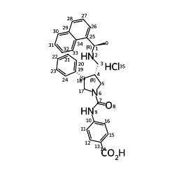 C[C@@H](NC[C@@H]1CN(C(=O)Nc2ccc(C(=O)O)cc2)C[C@@H]1c1ccccc1)c1cccc2ccccc12.Cl